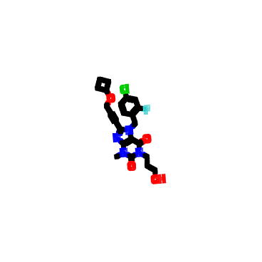 Cn1c(=O)n(CCCO)c(=O)c2c1nc(C#CCOC1CCC1)n2Cc1ccc(Cl)cc1F